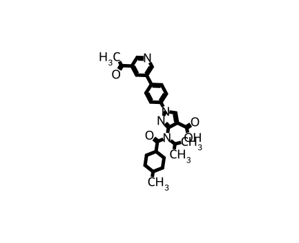 CC(=O)c1cncc(-c2ccc(-n3cc(C(=O)O)c(N(C(=O)C4CCC(C)CC4)C(C)C)n3)cc2)c1